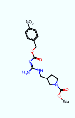 CC(C)(C)OC(=O)N1CC[C@H](CNC(N)=NC(=O)OCc2ccc([N+](=O)[O-])cc2)C1